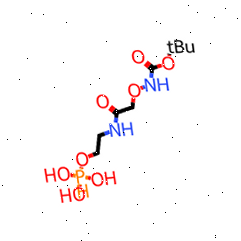 CC(C)(C)OC(=O)NOCC(=O)NCCO[PH](O)(O)O